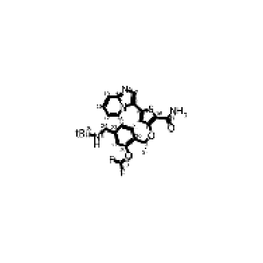 C[C@@H](Oc1cc(-c2cnc3ccccn23)sc1C(N)=O)c1ccc(CNC(C)(C)C)cc1OC(F)F